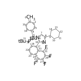 Cc1ccc(Cn2cc(C3CCCCC3)nc2-c2c(P(C(C)(C)C)C(C)(C)C)ccc3c(F)c(F)c(F)c(F)c23)cc1